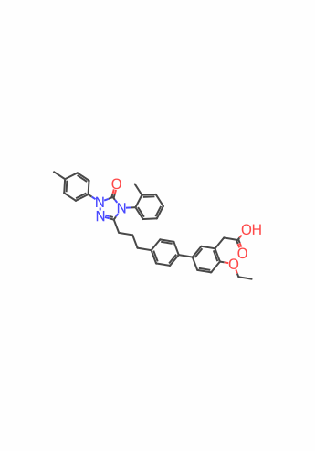 CCOc1ccc(-c2ccc(CCCc3nn(-c4ccc(C)cc4)c(=O)n3-c3ccccc3C)cc2)cc1CC(=O)O